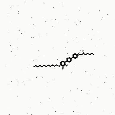 CCCCCCCCCCCCOc1ccc(-c2ccc(-c3ccc(OC[C@H](F)CCCCC)cc3)cc2)c(F)c1F